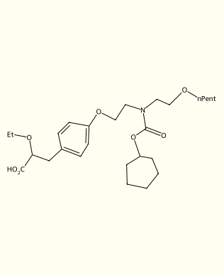 CCCCCOCCN(CCOc1ccc(CC(OCC)C(=O)O)cc1)C(=O)OC1CCCCC1